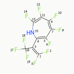 FC(F)=C(C1=C(F)C(F)=C(F)C(F)=C(F)N1)C(F)(F)F